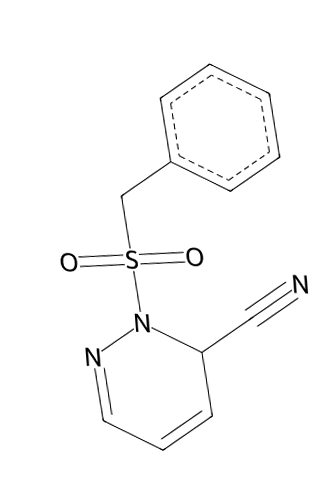 N#CC1C=CC=NN1S(=O)(=O)Cc1ccccc1